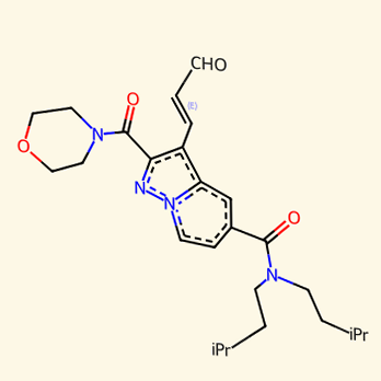 CC(C)CCN(CCC(C)C)C(=O)c1ccn2nc(C(=O)N3CCOCC3)c(/C=C/C=O)c2c1